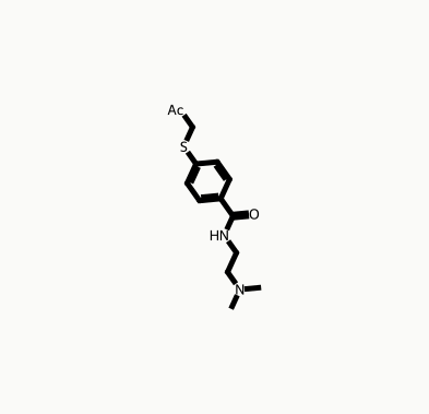 CC(=O)CSc1ccc(C(=O)NCCN(C)C)cc1